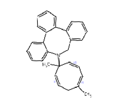 C/C1=C/C=C\C(C)(N2Cc3ccccc3-c3ccccc3-c3ccccc32)/C=C\C1